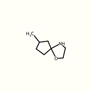 CC1CCC2(C1)NCCO2